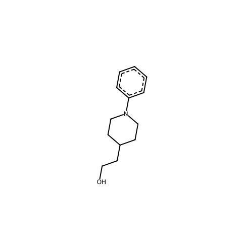 OCCC1CCN(c2ccccc2)CC1